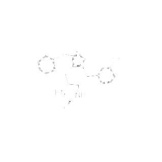 O=C1NCC(Cc2c(Cc3ccccc3)ncn2Cc2cccc(O)c2)N1